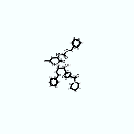 CC(C)CC(NC(=O)OCc1ccccc1)C(=O)NC(CCc1ccccc1)C(O)c1nc(C(=O)N2CCCCC2)co1